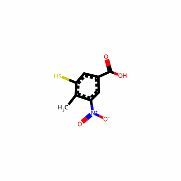 Cc1c(S)cc(C(=O)O)cc1[N+](=O)[O-]